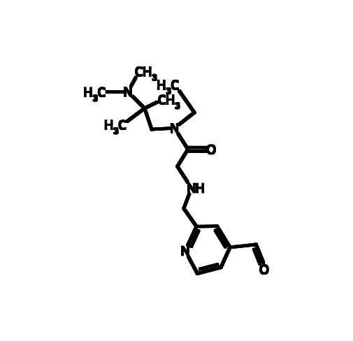 CCN(CC(C)(C)N(C)C)C(=O)CNCc1cc(C=O)ccn1